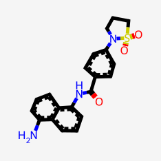 Nc1cccc2c(NC(=O)c3ccc(N4CCCS4(=O)=O)cc3)cccc12